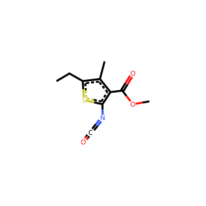 CCc1sc(N=C=O)c(C(=O)OC)c1C